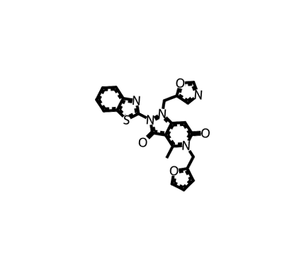 Cc1c2c(=O)n(-c3nc4ccccc4s3)n(Cc3cnco3)c2cc(=O)n1Cc1ccco1